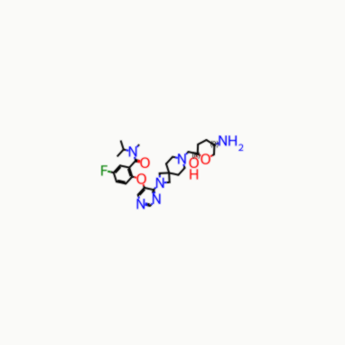 CC(C)N(C)C(=O)c1cc(F)ccc1Oc1cncnc1N1CC2(CCN(C[C@@]3(O)CC[C@@H](N)CO3)CC2)C1